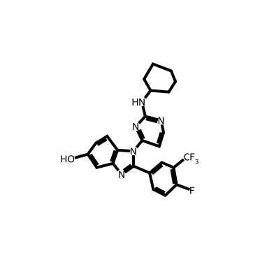 Oc1ccc2c(c1)nc(-c1ccc(F)c(C(F)(F)F)c1)n2-c1ccnc(NC2CCCCC2)n1